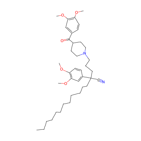 CCCCCCCCCCCCC(C#N)(CCCN1CCC(C(=O)c2ccc(OC)c(OC)c2)CC1)c1ccc(OC)c(OC)c1